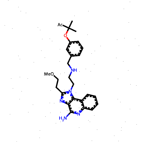 COCCc1nc2c(N)nc3ccccc3c2n1CCNCc1cccc(OC(C)(C)C(C)=O)c1